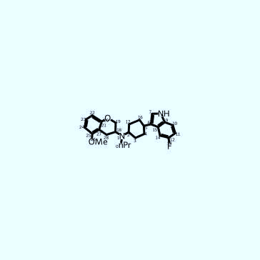 CCCN(C1CCC(c2c[nH]c3ccc(F)cc23)CC1)C1COc2cccc(OC)c2C1